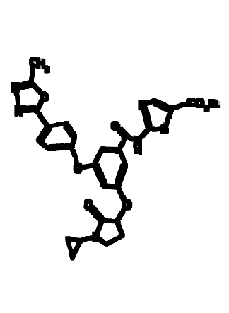 CCOC(=O)c1cnc(NC(=O)c2cc(Oc3ccc(-c4nnc(C)o4)cc3)cc(OC3CCN(C4CC4)C3=O)c2)s1